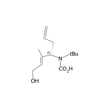 C=CC[C@@H](C(C)=CCO)N(C(=O)O)C(C)(C)C